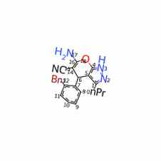 CCCc1n[nH]c2c1C(c1ccccc1Br)C(C#N)=C(N)O2